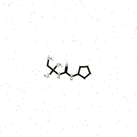 CCC(C)(C)NC(=O)NC1CCCC1